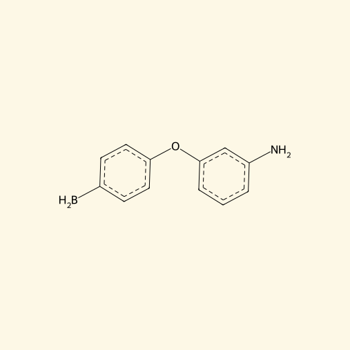 Bc1ccc(Oc2cccc(N)c2)cc1